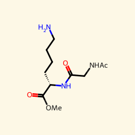 COC(=O)[C@H](CCCCN)NC(=O)CNC(C)=O